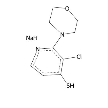 Sc1ccnc(N2CCOCC2)c1Cl.[NaH]